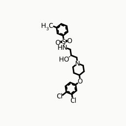 Cc1cccc(S(=O)(=O)NC[C@@H](O)CN2CCC(Oc3ccc(Cl)c(Cl)c3)CC2)c1